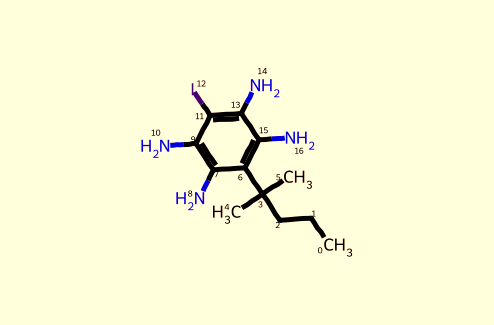 CCCC(C)(C)c1c(N)c(N)c(I)c(N)c1N